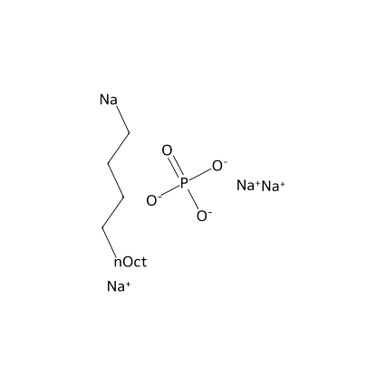 CCCCCCCCCCC[CH2][Na].O=P([O-])([O-])[O-].[Na+].[Na+].[Na+]